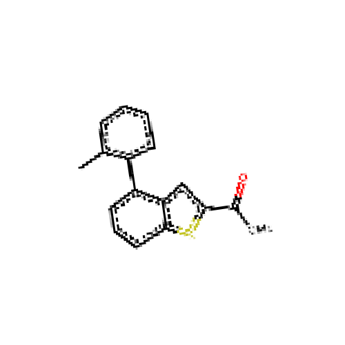 COC(=O)c1cc2c(-c3ccccc3C)cccc2s1